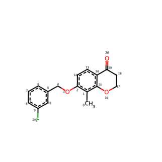 Cc1c(OCc2cccc(F)c2)ccc2c1OCCC2=O